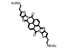 CC(=O)NCCc1cc2nc3c4ccc5c(=O)n6c(nc7cc(CCNC(C)=O)sc76)c6ccc(c(=O)n3c2s1)c4c56